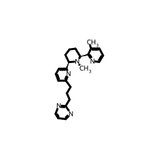 Cc1cccnc1[C@@H]1CCC[C@H](c2cccc(CCCc3ncccn3)n2)N1C